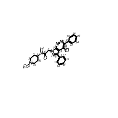 CCN1CCC(NC(=O)Cn2nc(-c3ccccc3)c3c(Cl)c(-c4ccccc4)nnc32)CC1